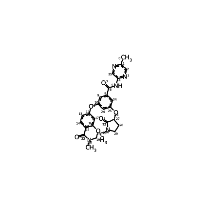 Cc1cnc(NC(=O)c2cc(Oc3ccc4c(c3)OCN(C)C4=O)cc(O[C@H]3CCN(C)C3=O)c2)cn1